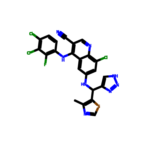 Cc1ncsc1C(Nc1cc(Cl)c2ncc(C#N)c(Nc3ccc(Cl)c(Cl)c3F)c2c1)c1c[nH]nn1